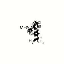 C=CC(=C)Nc1cccc(Cn2cc(Nc3cn(C)nc3OC)c3ncc(Cl)n3c2=O)c1